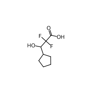 O=C(O)C(F)(F)C(O)C1CCCC1